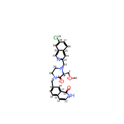 COC[C@H]1C(=O)N(Cc2ccc3cc[nH]c(=O)c3c2)CCN1Cc1cc2ccc(Cl)cc2cn1